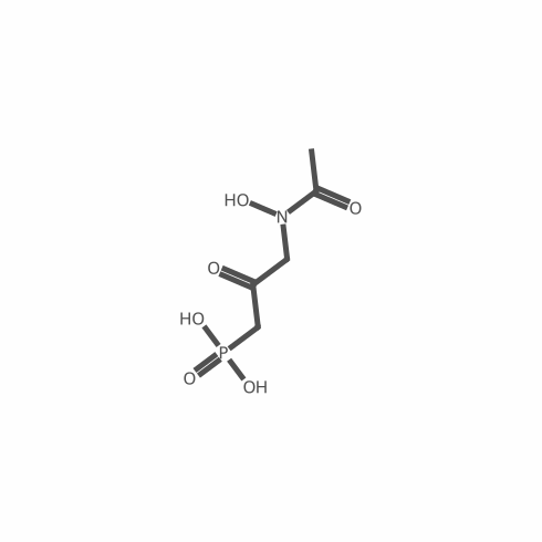 CC(=O)N(O)CC(=O)CP(=O)(O)O